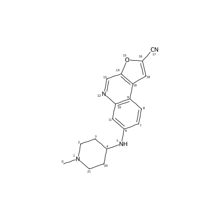 CN1CCC(Nc2ccc3c(c2)ncc2oc(C#N)cc23)CC1